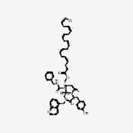 CC/C=C\C/C=C\C/C=C\C/C=C\C/C=C\C/C=C\CCC(=O)OC[C@@H]1CC(=O)N2[C@H](CN(Cc3cccc4ncccc34)C(=O)[C@@H]2Cc2ccc(O)cc2)N1C(=O)NCc1ccccc1